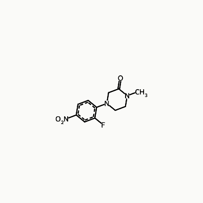 CN1CCN(c2ccc([N+](=O)[O-])cc2F)CC1=O